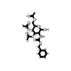 CC(=O)OCC1OC(O)C(NC(=O)OCc2ccccc2)C(OC(C)=O)[C@@H]1OC(C)=O